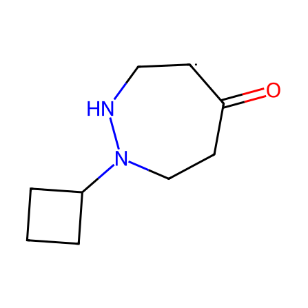 O=C1[CH]CNN(C2CCC2)CC1